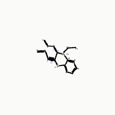 C=C/C=C1/Sc2ccccc2N(CC)/C1=C/C=C